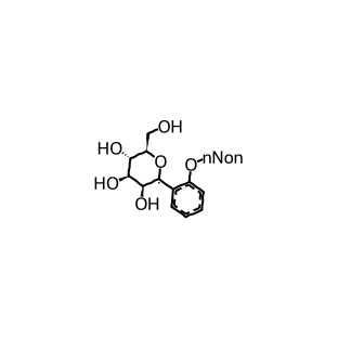 CCCCCCCCCOc1ccccc1[C]1O[C@H](CO)[C@@H](O)[C@H](O)[C@@H]1O